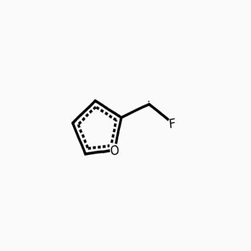 F[CH]c1ccco1